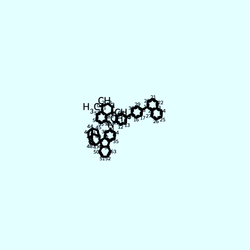 CC1(C)CCC(C)(C)c2c(N(c3ccc(-c4ccc(-c5cccc6ccccc56)cc4)cc3)c3ccc4c(c3)C3(C5CC6CC(C5)CC3C6)C3C=CC=CC43)cccc21